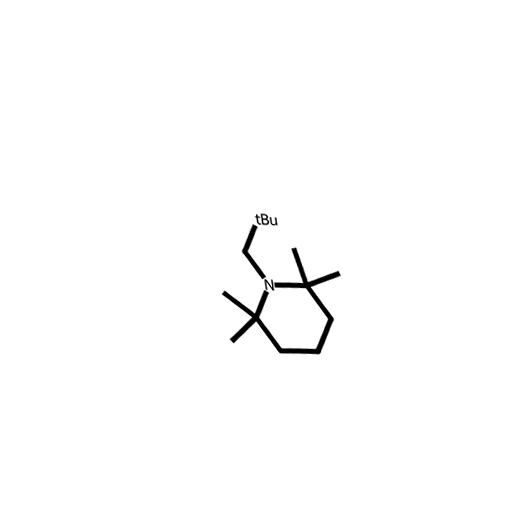 CC(C)(C)CN1C(C)(C)CCCC1(C)C